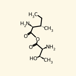 CC[C@H](C)[C@H](N)C(=O)OC(=O)[C@@H](N)[C@@H](C)O